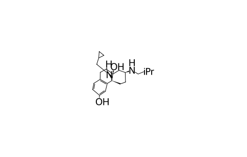 CC(C)CN[C@H]1CC[C@]23CCCN(CC4CC4)[C@H](Cc4ccc(O)cc42)[C@]3(O)C1